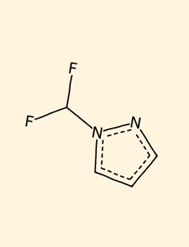 FC(F)n1cccn1